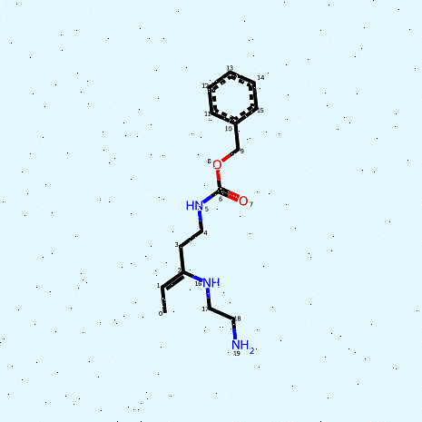 CC=C(CCNC(=O)OCc1ccccc1)NCCN